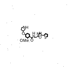 COc1cc(OC2CCNC2)ccc1C(=O)NCc1nnc(-c2cccs2)o1